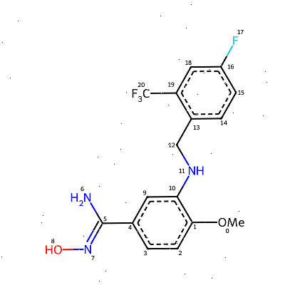 COc1ccc(C(N)=NO)cc1NCc1ccc(F)cc1C(F)(F)F